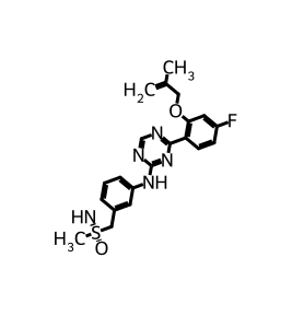 C=C(C)COc1cc(F)ccc1-c1ncnc(Nc2cccc(CS(C)(=N)=O)c2)n1